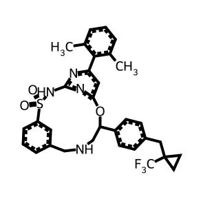 Cc1cccc(C)c1-c1cc2nc(n1)NS(=O)(=O)c1cccc(c1)CNCC(c1ccc(CC3(C(F)(F)F)CC3)cc1)O2